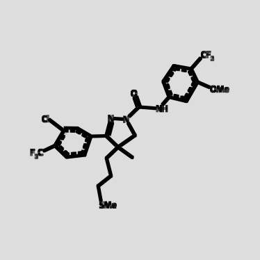 COc1cc(NC(=O)N2CC(C)(CCCSC)C(c3ccc(C(F)(F)F)c(Cl)c3)=N2)ccc1C(F)(F)F